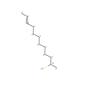 CC=CCCCCCCCC(C)F